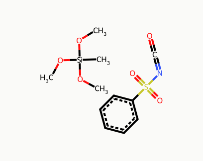 CO[Si](C)(OC)OC.O=C=NS(=O)(=O)c1ccccc1